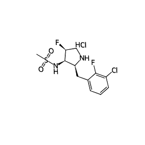 CS(=O)(=O)N[C@@H]1[C@H](Cc2cccc(Cl)c2F)NC[C@@H]1F.Cl